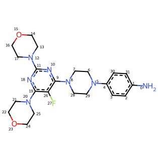 Nc1ccc(N2CCN(c3nc(N4CCOCC4)nc(N4CCOCC4)c3F)CC2)cc1